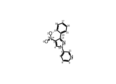 O=[N+]([O-])c1cn(-c2cccnc2)nc1-c1ccccc1